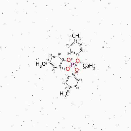 Cc1ccc(OP(=O)(Oc2ccc(C)cc2)Oc2ccc(C)cc2)cc1.[CaH2]